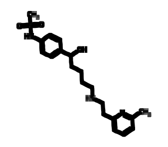 Cc1cccc(CCNCCCCC(O)c2ccc(NS(C)(=O)=O)cc2)n1